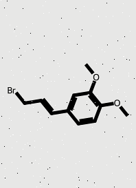 COc1ccc(C=CCBr)cc1OC